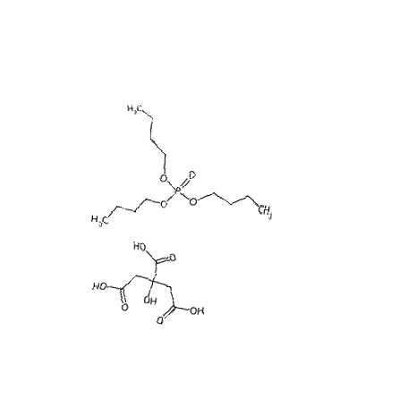 CCCCOP(=O)(OCCCC)OCCCC.O=C(O)CC(O)(CC(=O)O)C(=O)O